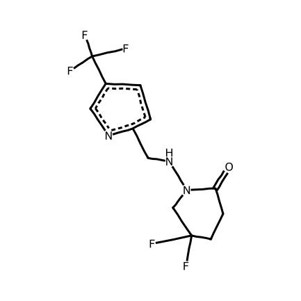 O=C1CCC(F)(F)CN1NCc1ccc(C(F)(F)F)cn1